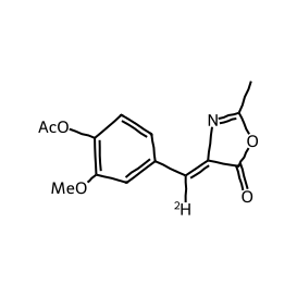 [2H]/C(=C1/N=C(C)OC1=O)c1ccc(OC(C)=O)c(OC)c1